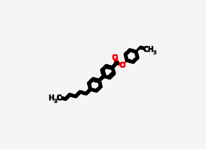 CCCCCCC1CC=C(c2ccc(C(=O)O[C@H]3CC[C@H](CC)CC3)cc2)CC1